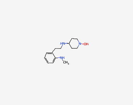 CNc1ccccc1CCNC1CCN(O)CC1